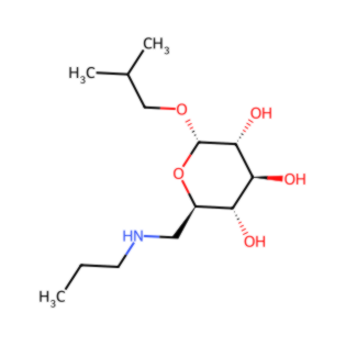 CCCNC[C@H]1O[C@H](OCC(C)C)[C@H](O)[C@@H](O)[C@@H]1O